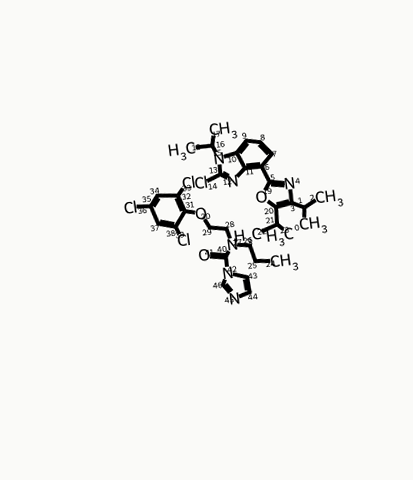 CC(C)c1nc(-c2cccc3c2nc(Cl)n3C(C)C)oc1C(C)C.CCCN(CCOc1c(Cl)cc(Cl)cc1Cl)C(=O)n1ccnc1